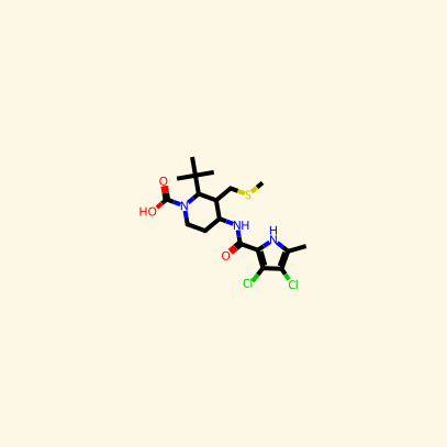 CSCC1C(NC(=O)c2[nH]c(C)c(Cl)c2Cl)CCN(C(=O)O)C1C(C)(C)C